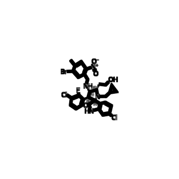 Cc1cc([N+](=O)[O-])c(CN[C@@H]2[C@H](CCO)N(CC3CC3)[C@@]3(C(=O)Nc4cc(Cl)ccc43)[C@H]2c2cccc(Cl)c2F)cc1Br